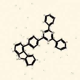 c1ccc(-c2nc(-c3ccccc3)nc(-c3ccc(-c4cccc5oc6ccccc6c45)cc3)n2)cc1